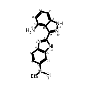 CCN(CC)c1ccc2nc(-c3n[nH]c4cccc(N)c34)[nH]c2c1